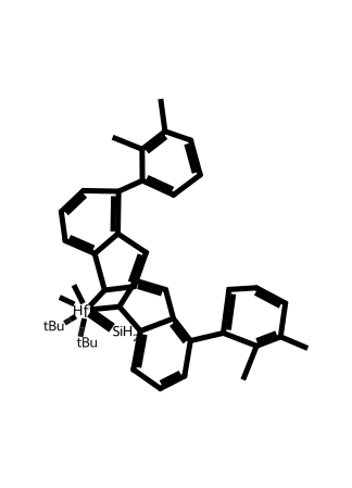 Cc1cccc(-c2cccc3c2C=C[CH]3[Hf]([CH3])([CH3])(=[SiH2])([CH]2C=Cc3c(-c4cccc(C)c4C)cccc32)([C](C)(C)C)[C](C)(C)C)c1C